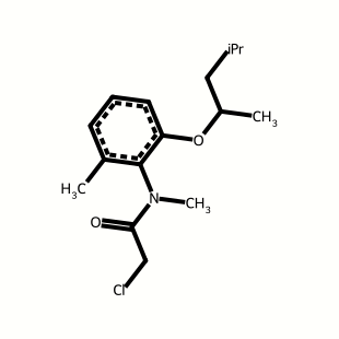 Cc1cccc(OC(C)CC(C)C)c1N(C)C(=O)CCl